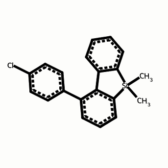 C[Si]1(C)c2ccccc2-c2c(-c3ccc(Cl)cc3)cccc21